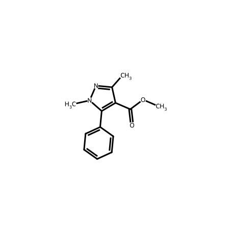 COC(=O)c1c(C)nn(C)c1-c1ccccc1